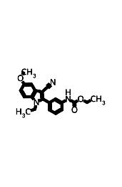 CCOC(=O)Nc1cccc(-c2c(C#N)c3cc(OC)ccc3n2CC)c1